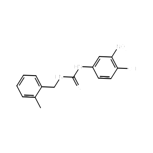 Cc1ccccc1CNC(=S)Nc1ccc(O)c([N+](=O)[O-])c1